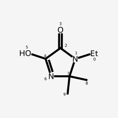 CCN1C(=O)C(O)=NC1(C)C